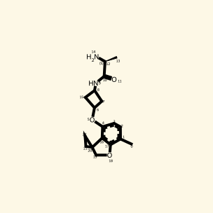 Cc1ccc(OC2CC(NC(=O)[C@H](C)N)C2)c2c1OCC21CC1